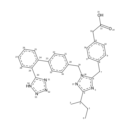 CCC(C)c1nc(Cc2ccc(CC(=O)O)cc2)n(Cc2ccc(-c3ccccc3-c3nnn[nH]3)cc2)n1